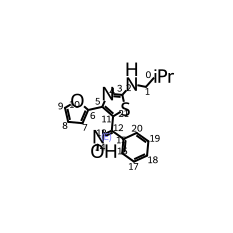 CC(C)CNc1nc(-c2ccco2)c(/C(=N/O)c2ccccc2)s1